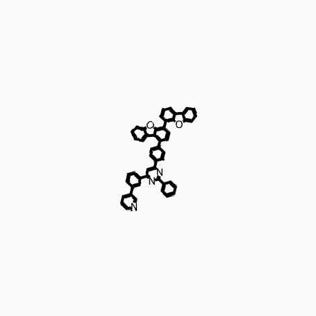 c1ccc(-c2nc(-c3ccc(-c4ccc(-c5cccc6c5oc5ccccc56)c5oc6ccccc6c45)cc3)cc(-c3cccc(-c4cccnc4)c3)n2)cc1